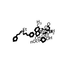 CCC(C)(C)C(=O)O[C@H]1C[C@@H](C)C=C2C=C[C@H](C)[C@H](CC[C@@H]3C[C@@H](O)CC(=O)O3)[C@H]21.CCCCCCCCc1ccc(O)cc1.CCN(CCCc1ccccc1)CCCc1ccccc1